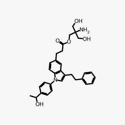 CC(O)c1ccc(-n2cc(CCc3ccccc3)c3cc(CCC(=O)OCC(N)(CO)CO)ccc32)cc1